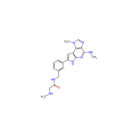 CNCC(=O)NCc1cccc(-c2cc3c(nc(NC)c4ncn(C)c43)[nH]2)c1